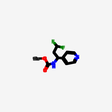 CC(C)(C)OC(=O)NC(CC(F)F)c1ccncc1